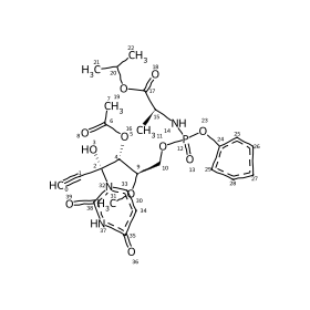 C#C[C@@](O)([C@H](OC(C)=O)[C@@H](COP(=O)(N[C@@H](C)C(=O)OC(C)C)Oc1ccccc1)OC)n1ccc(=O)[nH]c1=O